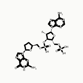 Nc1nc2c(ncn2[C@H]2CC[C@@H](COP(=O)(S)O[C@H]3[C@H](F)[C@H](n4cnc5c(N)ncnc54)O[C@@H]3COP(=O)(O)S)O2)c(=O)[nH]1